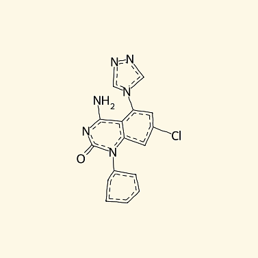 Nc1nc(=O)n(-c2ccccc2)c2cc(Cl)cc(-n3cnnc3)c12